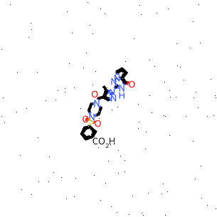 Cc1c(C(=O)N2CCN(S(=O)(=O)c3cccc(C(=O)O)c3)CC2)cnn1-c1nn2cccc2c(=O)[nH]1